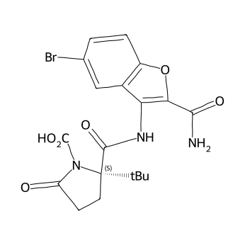 CC(C)(C)[C@]1(C(=O)Nc2c(C(N)=O)oc3ccc(Br)cc23)CCC(=O)N1C(=O)O